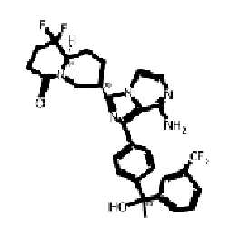 C[C@@](O)(c1ccc(-c2nc([C@@H]3CC[C@H]4N(C3)C(=O)CCC4(F)F)n3ccnc(N)c23)cc1)c1cccc(C(F)(F)F)c1